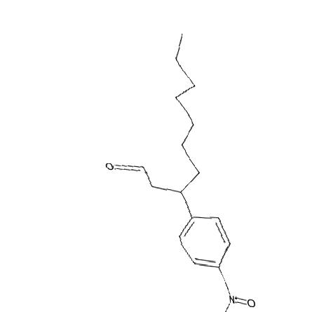 CCCCCCCC(CC=O)c1ccc([N+](=O)[O-])cc1